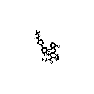 CC(C)(C)OC(=O)N1CCN(c2ccc(NN3C=C(Cc4c(Cl)cccc4Cl)[N+]4C=CN=C4C3C(N)=O)cc2)CC1